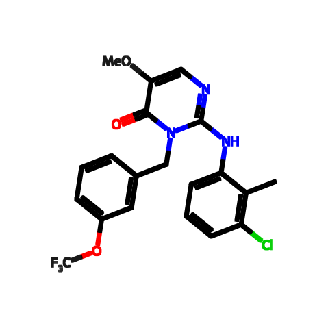 COc1cnc(Nc2cccc(Cl)c2C)n(Cc2cccc(OC(F)(F)F)c2)c1=O